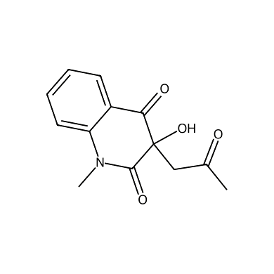 CC(=O)CC1(O)C(=O)c2ccccc2N(C)C1=O